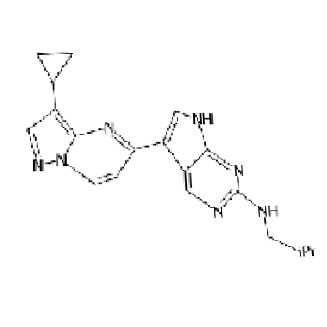 CC(C)CNc1ncc2c(-c3ccn4ncc(C5CC5)c4n3)c[nH]c2n1